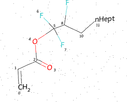 C=CC(=O)OC(F)(F)C(F)CCCCCCCC